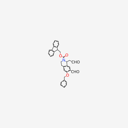 O=CCC1c2cc(C=O)c(OCc3ccccc3)cc2CCN1C(=O)OCC1c2ccccc2-c2ccccc21